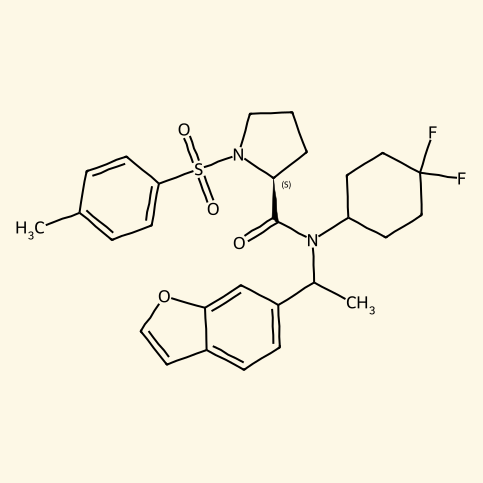 Cc1ccc(S(=O)(=O)N2CCC[C@H]2C(=O)N(C2CCC(F)(F)CC2)C(C)c2ccc3ccoc3c2)cc1